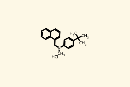 CN(Cc1cccc2ccccc12)c1ccc(C(C)(C)C)cc1.Cl